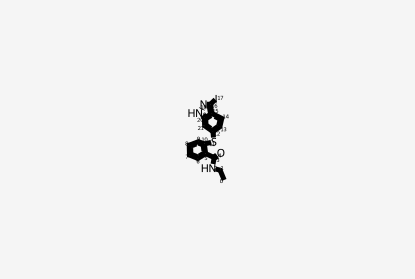 CCNC(=O)c1ccccc1Sc1ccc2c(I)n[nH]c2c1